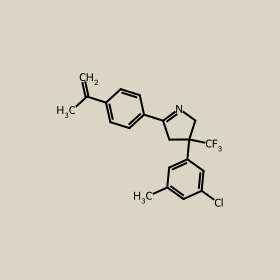 C=C(C)c1ccc(C2=NCC(c3cc(C)cc(Cl)c3)(C(F)(F)F)C2)cc1